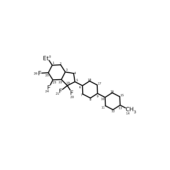 CCC1CC2CC(C3CCC(C4CCC(C)CC4)CC3)C(F)(F)C2C(F)C1F